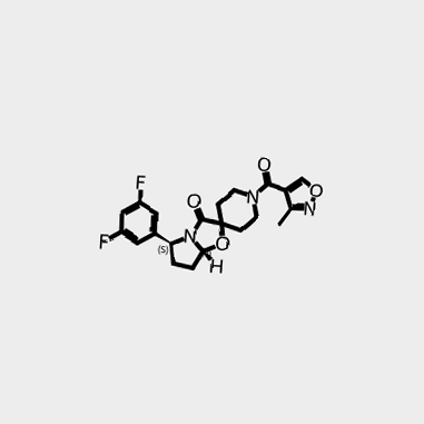 Cc1nocc1C(=O)N1CCC2(CC1)O[C@@H]1CC[C@@H](c3cc(F)cc(F)c3)N1C2=O